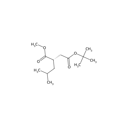 COC(=O)[C@H](CC(=O)OC(C)(C)C)CC(C)C